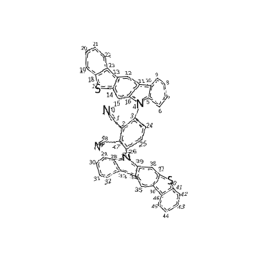 N#Cc1c(-n2c3ccccc3c3cc4c(cc32)sc2ccccc24)ccc(-n2c3ccccc3c3cc4c(cc32)sc2ccccc24)c1C#N